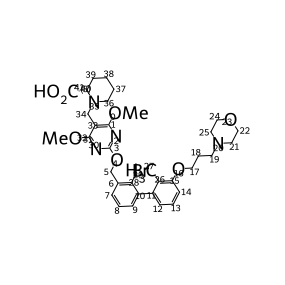 COc1nc(OCc2cccc(-c3cccc(OCCCN4CCOCC4)c3C)c2Br)nc(OC)c1CN1CCCC[C@H]1C(=O)O